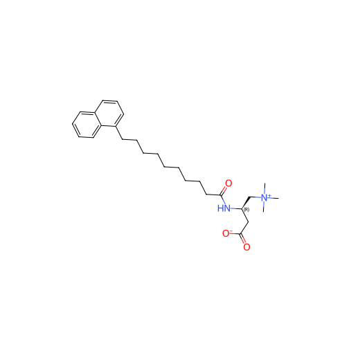 C[N+](C)(C)C[C@@H](CC(=O)[O-])NC(=O)CCCCCCCCCc1cccc2ccccc12